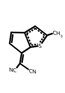 Cc1cc2c(s1)C(=C(C#N)C#N)C=C2